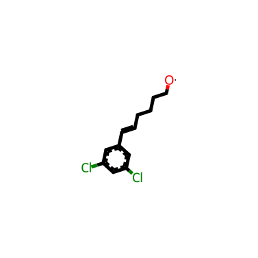 [O]CCCCC=Cc1cc(Cl)cc(Cl)c1